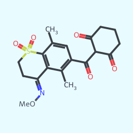 CON=C1CCS(=O)(=O)c2c(C)cc(C(=O)C3C(=O)CCCC3=O)c(C)c21